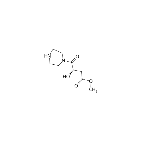 COC(=O)C[C@@H](O)C(=O)N1CCNCC1